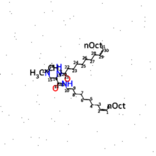 CCCCCCCC/C=C\CCCCCCCCNC(=O)C(CN(C)C)NC(=O)CCCCCCC/C=C\CCCCCCCC